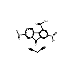 N#CCC#N.O=C(O)c1cc([N+](=O)[O-])cc2c1-c1ccc([N+](=O)[O-])cc1C2=O